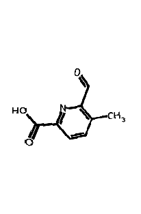 Cc1ccc(C(=O)O)nc1C=O